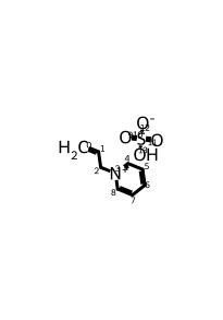 C=CC[n+]1ccccc1.O=S(=O)([O-])O